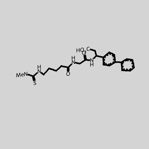 CNC(=S)NCCCCC(=O)NCC(=O)NC(CC(=O)O)c1ccc(-c2ccccc2)cc1